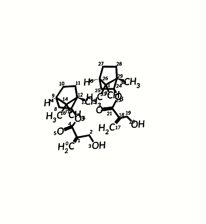 C=C(CO)C(=O)OC1C[C@H]2CC[C@@]1(C)C2(C)C.C=C(CO)C(=O)OC1C[C@H]2CC[C@@]1(C)C2(C)C